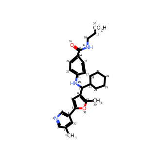 Cc1cncc(-c2cc(C(Nc3ccc(C(=O)NCCC(=O)O)cc3)C3CCCCC3)c(C)o2)c1